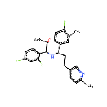 CNC(=O)C(N[C@H](CCc1ccc(C(F)(F)F)nc1)c1ccc(F)c(C)c1)c1ccc(F)cc1F